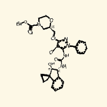 CC(C)(C)OC(=O)N1CCO[C@@H](COc2nn(-c3ccccc3)c(NC(=O)N[C@@H]3c4ccccc4C4(CC4)[C@H]3O)c2Cl)C1